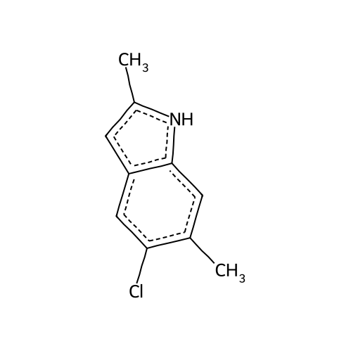 Cc1cc2cc(Cl)c(C)cc2[nH]1